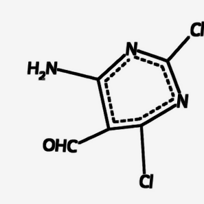 Nc1nc(Cl)nc(Cl)c1C=O